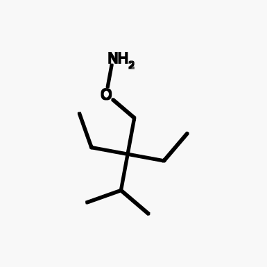 CCC(CC)(CON)C(C)C